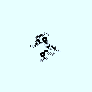 CCC(CC)c1cccc(C[C@H](NC(=O)[C@H](CCC(=O)OC(C)(C)C)NC(=O)c2ccc(N(C)Cc3cnc4nc(N)nc(N)c4n3)cc2)C(=O)O)c1